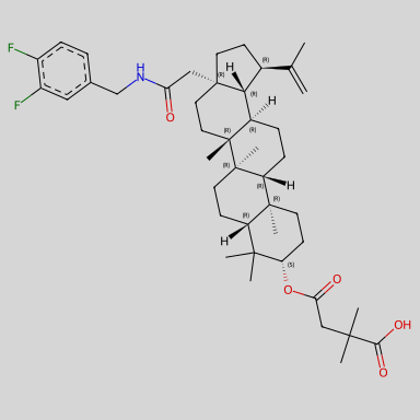 C=C(C)[C@@H]1CC[C@]2(CC(=O)NCc3ccc(F)c(F)c3)CC[C@]3(C)[C@H](CC[C@@H]4[C@@]5(C)CC[C@H](OC(=O)CC(C)(C)C(=O)O)C(C)(C)[C@@H]5CC[C@]43C)[C@@H]12